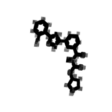 O=C(NC(=O)c1cccc(-c2noc(-c3ccccc3F)n2)c1)OC1CCOC1